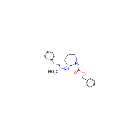 O=C(CN1CCCCCC(N[C@@H](CCc2ccccc2)C(=O)O)C1)OCc1ccccc1